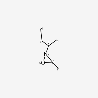 CCC(C)N1O[C]1C